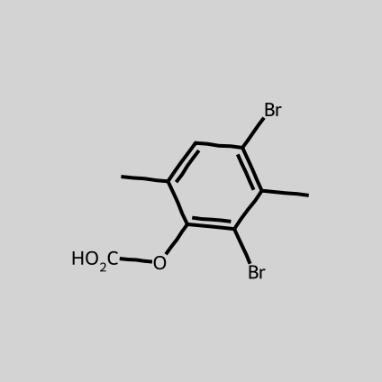 Cc1cc(Br)c(C)c(Br)c1OC(=O)O